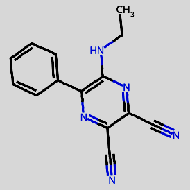 CCNc1nc(C#N)c(C#N)nc1-c1ccccc1